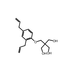 C=CCc1ccc(OCC(CO)(CO)CO)c(CC=C)c1